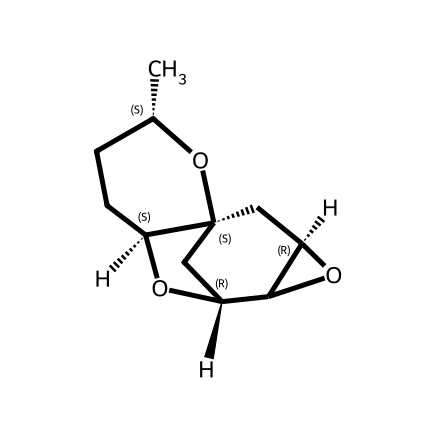 C[C@H]1CC[C@@H]2O[C@@H]3C[C@]2(C[C@H]2OC23)O1